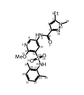 CCc1cc(C(=O)Nc2cnc(OC)c(S(=O)(=O)Nc3c(C)cccc3C)c2)nn1C